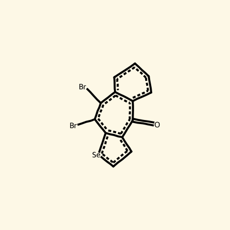 O=c1c2ccccc2c(Br)c(Br)c2[se]ccc12